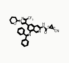 N#C[C@@H]1C[C@H]1C(=O)Nc1cc2cc(-c3cn(C4CCCCO4)nc3C(F)(F)F)cc(N=C(c3ccccc3)c3ccccc3)c2cn1